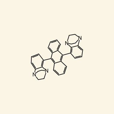 c1cc(-c2c3ccccc3c(-c3cccc4c3N3CCN4CC3)c3ccccc23)c2c(c1)N1CCN2CC1